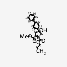 C=CCOC(=O)N1C[C@](O)(c2ccc(-c3ccccc3)cc2)C[C@H]1C(=O)OC